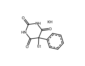 CCC1(c2ccccc2)C(=O)NC(=O)NC1=O.[KH]